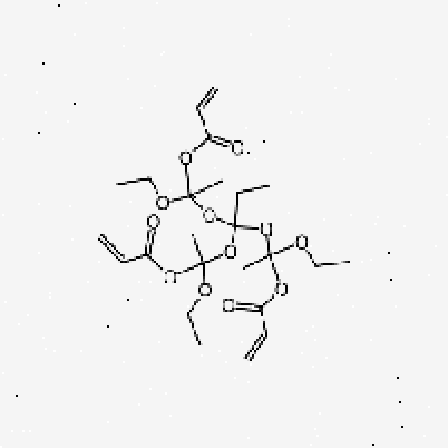 C=CC(=O)OC(C)(OCC)OC(CC)(OC(C)(OCC)OC(=O)C=C)OC(C)(OCC)OC(=O)C=C